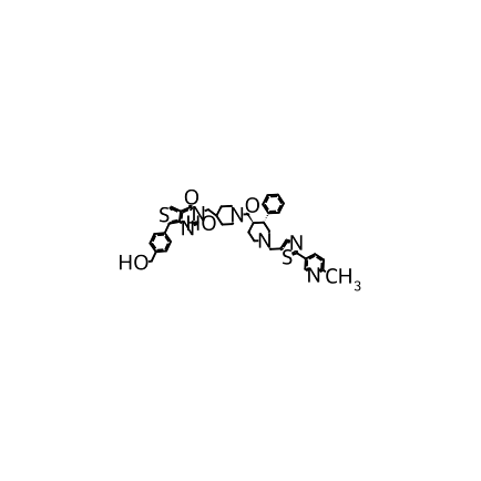 Cc1ccc(-c2ncc(CN3CC[C@@H](C(=O)N4CCC(O)(Cn5cnc6c(-c7ccc(CO)cc7)scc6c5=O)CC4)[C@H](c4ccccc4)C3)s2)cn1